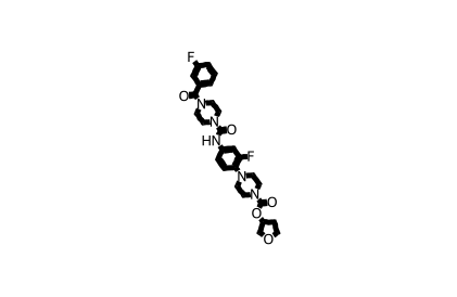 O=C(Nc1ccc(N2CCN(C(=O)OC3CCOC3)CC2)c(F)c1)N1CCN(C(=O)c2cccc(F)c2)CC1